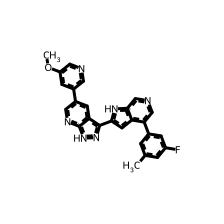 COc1cncc(-c2cnc3[nH]nc(-c4cc5c(-c6cc(C)cc(F)c6)cncc5[nH]4)c3c2)c1